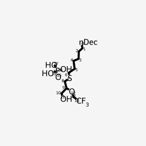 CCCCCCCCCCCCCCCCSCC(CO)OCC(F)(F)F.O=P(O)(O)O